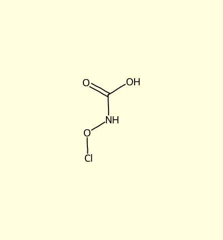 O=C(O)NOCl